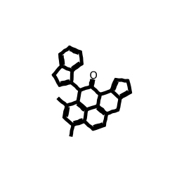 Cc1cc(C)c2ccc3c4c2c1C(C1=CCc2ccccc21)C(=O)C4C1=CCC=C1C3